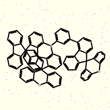 c1cc(-c2cccc3c2-c2ccccc2C32c3ccccc3Oc3ccccc32)cc(N(c2cccc3c2-c2ccccc2C32c3ccccc3Oc3ccccc32)c2cccc3c2-c2ccccc2C32c3ccccc3-c3ccccc32)c1